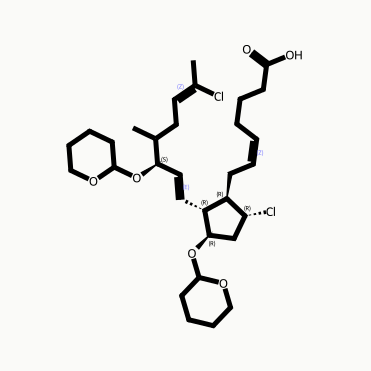 C/C(Cl)=C/CC(C)[C@@H](/C=C/[C@@H]1[C@@H](C/C=C\CCCC(=O)O)[C@H](Cl)C[C@H]1OC1CCCCO1)OC1CCCCO1